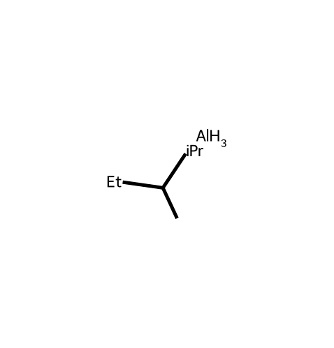 [AlH3].[CH2]C(C)C(C)CC